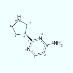 Nc1ccnc([C@H]2CCNC2)n1